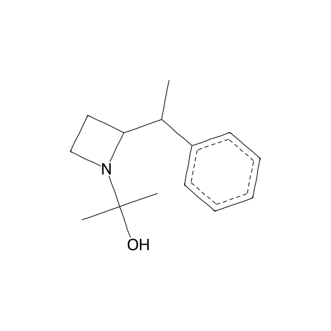 CC(c1ccccc1)C1CCN1C(C)(C)O